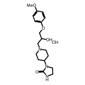 COc1ccc(OCC(O)CN2CCC(N3CCNC3=O)CC2)cc1.Cl